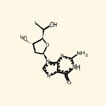 Nc1nc2c(ncn2[C@H]2C[C@H](O)[C@@H](C(O)I)O2)c(=O)[nH]1